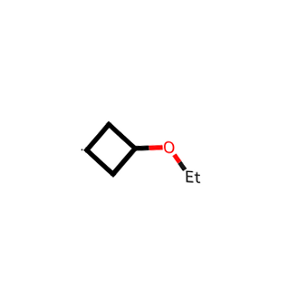 CCOC1C[CH]C1